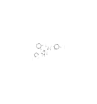 COc1ccccc1-n1c(SNCc2ccc(Cl)cc2)nnc1-c1ccc(F)s1